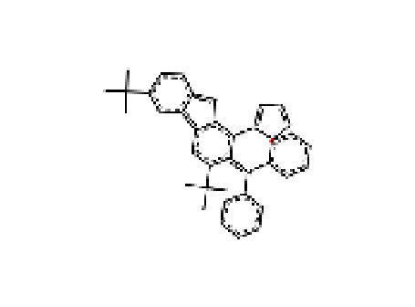 CC(C)(C)c1ccc2c(c1)=c1cc(C(C)(C)C)c(=[Si](c3ccccc3)c3ccccc3)c(C3=CC=CC3)c1[C]=2